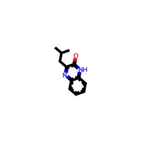 CC(C)Cc1nc2ccccc2[nH]c1=O